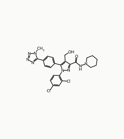 Cn1nnnc1-c1ccc(-c2c(CO)c(C(=O)NN3CCCCC3)nn2-c2ccc(Cl)cc2Cl)cc1